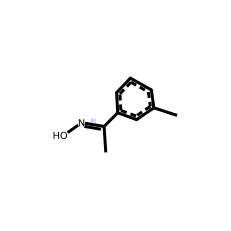 C/C(=N\O)c1cccc(C)c1